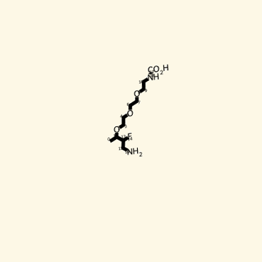 CC(OCCOCCOCCNC(=O)O)C(F)CN